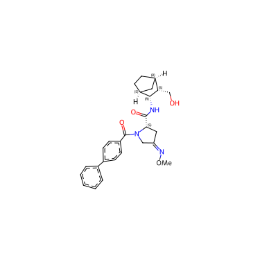 CON=C1C[C@@H](C(=O)N[C@@H]2[C@H]3CC[C@H](C3)[C@@H]2CO)N(C(=O)c2ccc(-c3ccccc3)cc2)C1